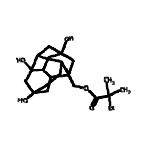 CCC(C)(C)C(=O)OCC12CC3(O)CC4C1CC1(O)CC2C(C3)C4(O)C1